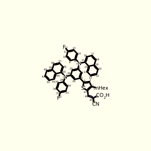 CCCCCCc1cc(-c2cc(N(c3ccc(F)cc3)c3cccc4ccccc34)cc(N(c3ccc(F)cc3)c3cccc4ccccc34)c2)sc1/C=C(/C#N)C(=O)O